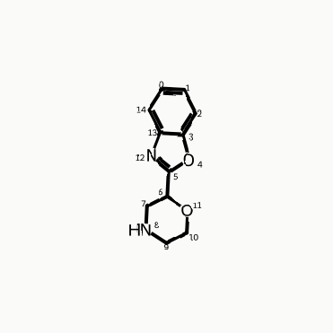 c1ccc2oc(C3CNCCO3)nc2c1